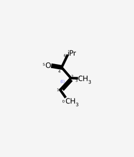 C/C=C(\C)C(=O)C(C)C